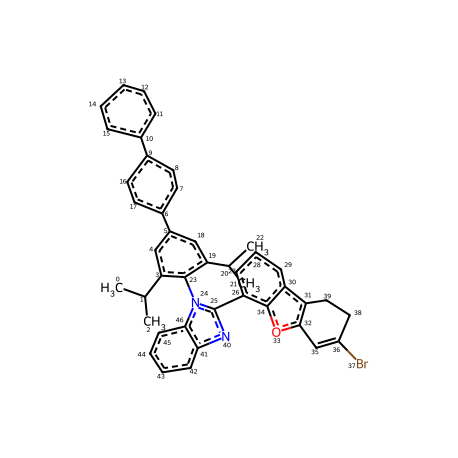 CC(C)c1cc(-c2ccc(-c3ccccc3)cc2)cc(C(C)C)c1-n1c(-c2cccc3c4c(oc23)C=C(Br)CC4)nc2ccccc21